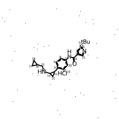 CC(C)(C)n1cc(C(=O)Nc2ccc(C3CC3NCC3CC3)cc2)cn1.Cl